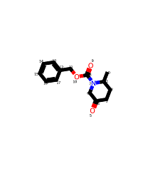 CC1CCC(=O)CN1C(=O)OCc1ccccc1